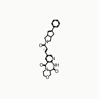 O=C1Nc2ncc(/C=C/C(=O)N3CC4C=C(c5ccccc5)CC4C3)cc2C(=O)N2CCOCC12